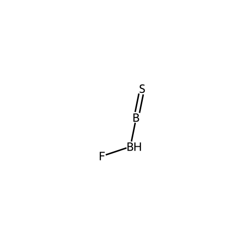 FBB=S